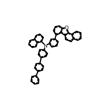 c1ccc(-c2ccc(-c3ccc(N(c4cccc(-c5cccc6oc7c8ccccc8ccc7c56)c4)c4cccc5ccccc45)cc3)cc2)cc1